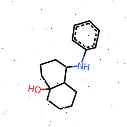 OC12CCCCC1C(Nc1ccccc1)CCC2